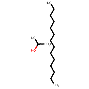 CC(O)C(=O)O.CCCCCCCCCCCCCC